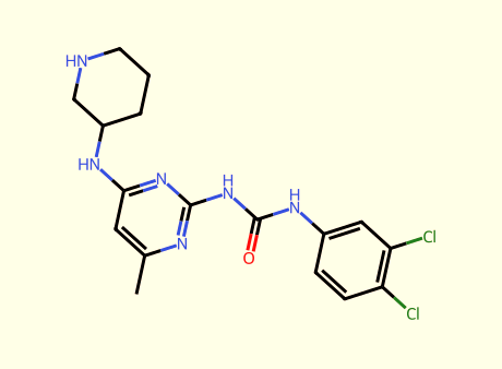 Cc1cc(NC2CCCNC2)nc(NC(=O)Nc2ccc(Cl)c(Cl)c2)n1